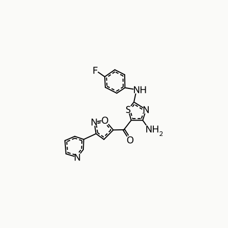 Nc1nc(Nc2ccc(F)cc2)sc1C(=O)c1cc(-c2cccnc2)no1